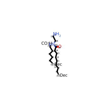 CCCCCCCCCCCCCCCC(=O)O.CCCCCCCCCCCCCCCCCC(=O)NCCN